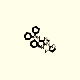 F[C@H]1C=COC1n1cnc2c(N=P(c3ccccc3)(c3ccccc3)c3ccccc3)ncnc21